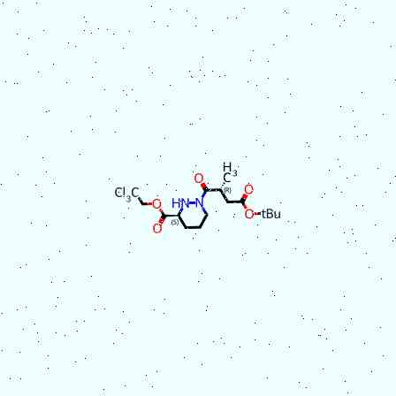 C[C@H](CC(=O)OC(C)(C)C)C(=O)N1CCC[C@@H](C(=O)OCC(Cl)(Cl)Cl)N1